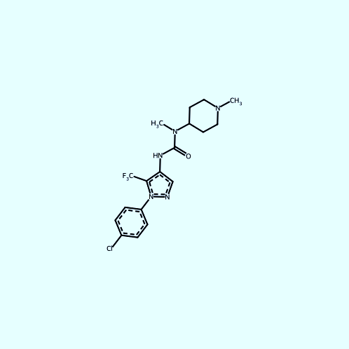 CN1CCC(N(C)C(=O)Nc2cnn(-c3ccc(Cl)cc3)c2C(F)(F)F)CC1